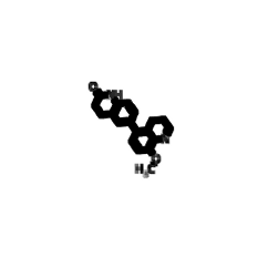 COc1ccc(-c2ccc3c(c2)CCC(=O)N3)c2c1N=CCC2